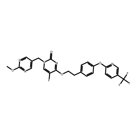 COc1ncc(Cn2cc(F)c(OCCc3ccc(Oc4ccc(C(F)(F)F)cn4)cc3)nc2=O)cn1